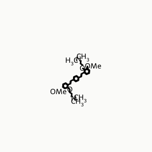 COc1cccc(/C=C/c2ccc(/C=C/c3cccc(OC)c3OCCCN(C)C)cc2)c1OCCCN(C)C